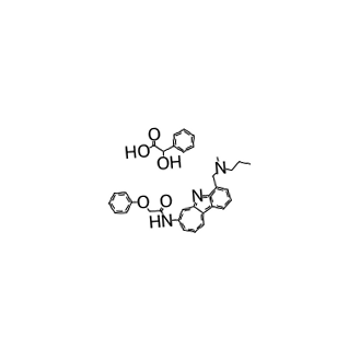 CCCN(C)Cc1cccc2c3cccc(NC(=O)COc4ccccc4)cc-3nc12.O=C(O)C(O)c1ccccc1